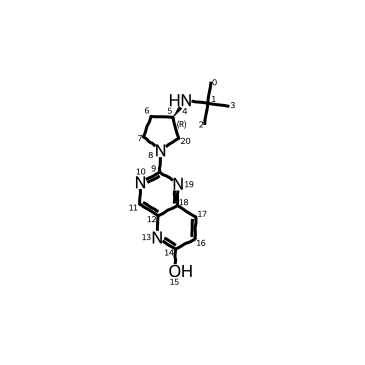 CC(C)(C)N[C@@H]1CCN(c2ncc3nc(O)ccc3n2)C1